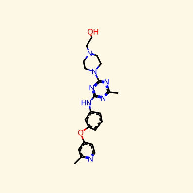 Cc1cc(Oc2cccc(Nc3nc(C)nc(N4CCN(CCO)CC4)n3)c2)ccn1